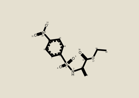 C=C(NS(=O)(=O)c1ccc([N+](=O)[O-])cc1)C(=O)OCC